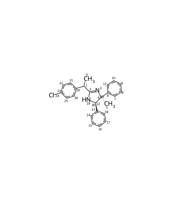 CC(C1=N[C@@](C)(c2ccccc2)[C@@H](c2ccccc2)N1)c1ccc(Cl)cc1